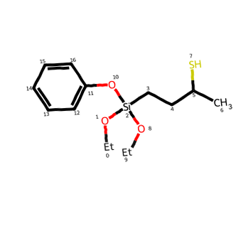 CCO[Si](CCC(C)S)(OCC)Oc1ccccc1